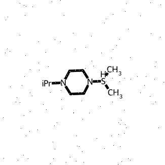 CC(C)N1CCN([SH](C)C)CC1